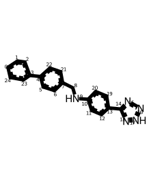 c1ccc(-c2ccc(CNc3ccc(-c4nn[nH]n4)cc3)cc2)cc1